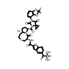 O=C(N[C@H]1CCCC[C@H]2CC[C@@H](C(=O)N3C(=O)N(c4cccc5c4OC(F)(F)O5)C(=O)C34CC4)N2C1=O)c1cc2cc(C(F)P(=O)(O)O)ccc2s1